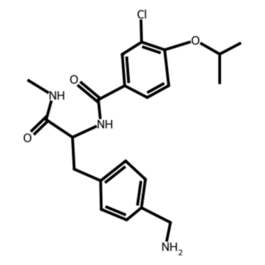 CNC(=O)C(Cc1ccc(CN)cc1)NC(=O)c1ccc(OC(C)C)c(Cl)c1